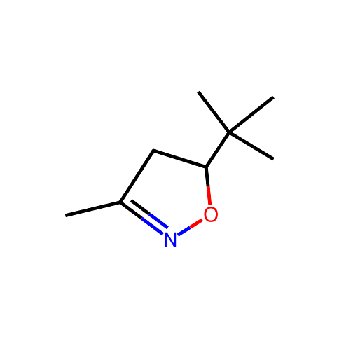 CC1=NOC(C(C)(C)C)C1